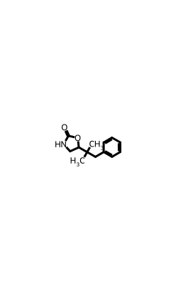 CC(C)(Cc1ccccc1)C1CNC(=O)O1